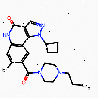 CCc1cc2[nH]c(=O)c3cnn(C4CCC4)c3c2cc1C(=O)N1CCN(CCC(F)(F)F)CC1